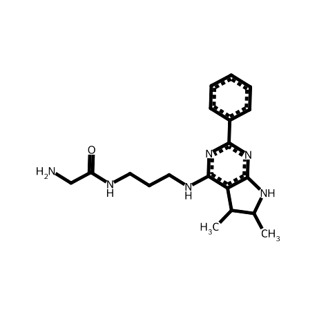 CC1Nc2nc(-c3ccccc3)nc(NCCCNC(=O)CN)c2C1C